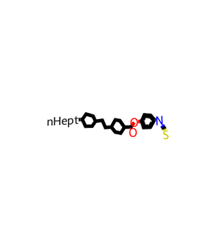 CCCCCCCC1CCC(CCC2CCC(C(=O)Oc3ccc(N=C=S)cc3)CC2)CC1